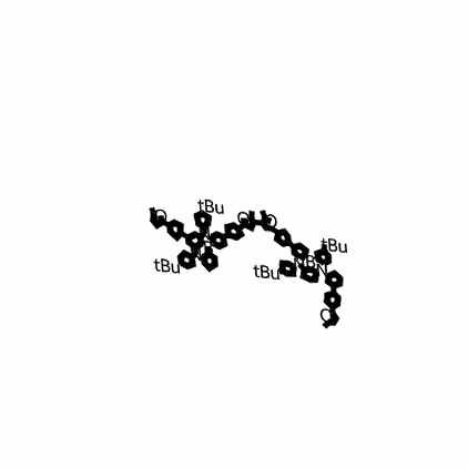 Cc1ccc(-c2ccc(-c3cccc(N4c5ccc(C(C)(C)C)cc5B5c6ccc(-c7ccc(-c8cc(-c9cc(-c%10ccc(-c%11ccc%12c(c%11)N(c%11ccc(C(C)(C)C)cc%11)c%11cc(-c%13ccc(-c%14ccc(C)o%14)cc%13)cc%13c%11B%12c%11ccccc%11N%13c%11ccc(C(C)(C)C)cc%11)cc%10)oc9C)c(C)o8)cc7)cc6N(c6ccc(C(C)(C)C)cc6)c6cccc4c65)c3)cc2)o1